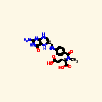 CN(C(=O)c1ccc(NC[C@H]2CNc3nc(N)[nH]c(=O)c3N2)cc1)[C@@H](CCC(=O)O)C(=O)O